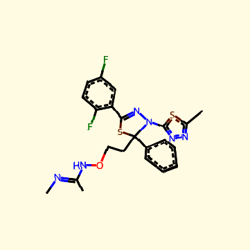 C/N=C(\C)NOCCC1(c2ccccc2)SC(c2cc(F)ccc2F)=NN1c1nnc(C)s1